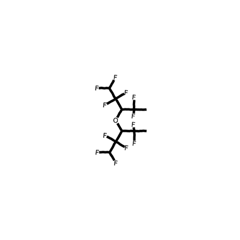 CC(F)(F)C(OC(C(C)(F)F)C(F)(F)C(F)F)C(F)(F)C(F)F